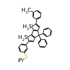 Cc1cccc(C2=CC3=C([SiH2]2)C2=C(C=C(c4cccc(SC(C)C)c4)[SiH2]2)C3(c2ccccc2)c2ccccc2)c1